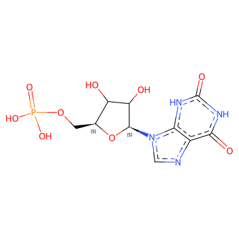 O=c1[nH]c(=O)c2ncn([C@H]3O[C@@H](COP(=O)(O)O)C(O)C3O)c2[nH]1